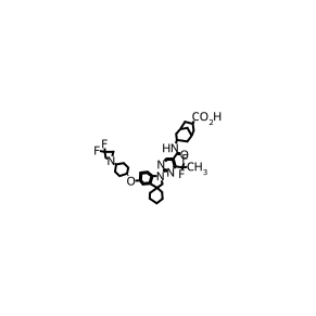 CC(F)(F)c1nc(N2CC3(CCCCC3)c3cc(O[C@H]4CC[C@H](N5CC(F)(F)C5)CC4)ccc32)ncc1C(=O)NC1CC2CC(C1)CC(C(=O)O)C2